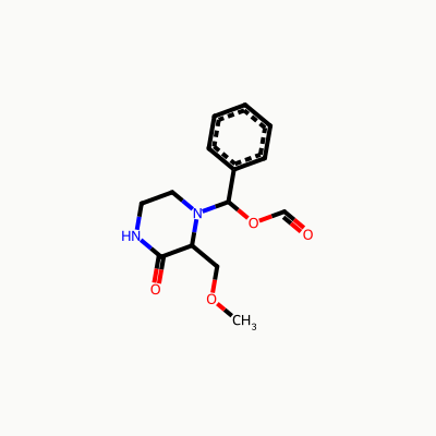 COCC1C(=O)NCCN1C(OC=O)c1ccccc1